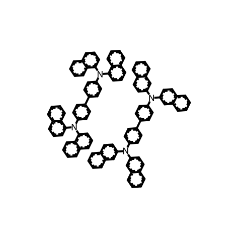 c1ccc2c(N(c3ccc(-c4ccc(N(c5cccc6ccccc56)c5cccc6ccccc56)cc4)cc3)c3cccc4ccccc34)cccc2c1.c1ccc2cc(N(c3ccc(-c4ccc(N(c5ccc6ccccc6c5)c5ccc6ccccc6c5)cc4)cc3)c3ccc4ccccc4c3)ccc2c1